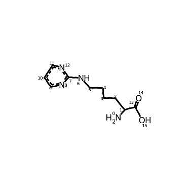 NC(CCCCNc1ncccn1)C(=O)O